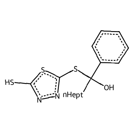 CCCCCCCC(O)(Sc1nnc(S)s1)c1ccccc1